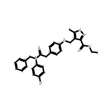 CCOC(=O)c1noc(C)c1COc1ccc(CC(=O)N(Cc2ccccc2)c2ccc(Cl)cc2)cc1